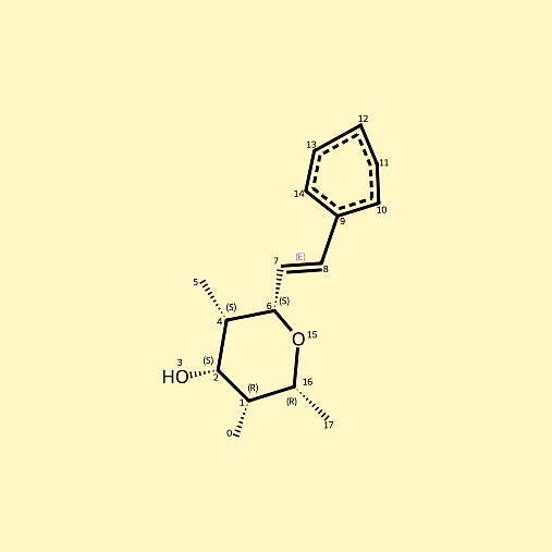 C[C@@H]1[C@H](O)[C@H](C)[C@H](/C=C/c2ccccc2)O[C@@H]1C